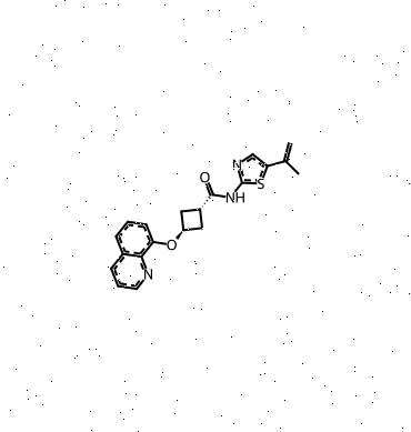 C=C(C)c1cnc(NC(=O)[C@H]2C[C@H](Oc3cccc4cccnc34)C2)s1